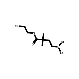 CCN(CC)CCC(C)(C)C(=O)OCCC(C)(C)C